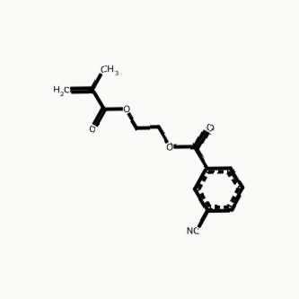 C=C(C)C(=O)OCCOC(=O)c1cccc(C#N)c1